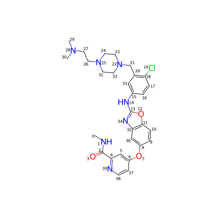 CNC(=O)c1cc(Oc2ccc3oc(Nc4ccc(Cl)c(CN5CCN(CCN(C)C)CC5)c4)nc3c2)ccn1